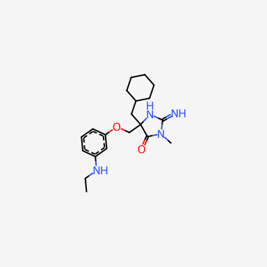 CCNc1cccc(OCC2(CC3CCCCC3)NC(=N)N(C)C2=O)c1